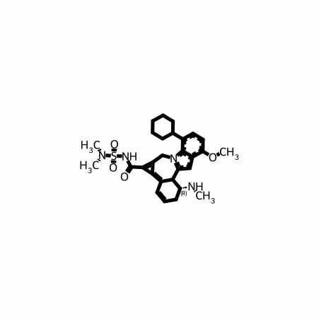 CN[C@@H]1CC=CC2=C3C(=C3C(=O)NS(=O)(=O)N(C)C)Cn3c(cc4c(OC)ccc(C5CCCCC5)c43)C21